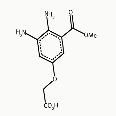 COC(=O)c1cc(OCC(=O)O)cc(N)c1N